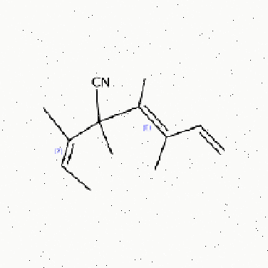 C=C/C(C)=C(\C)C(C)(C#N)/C(C)=C\C